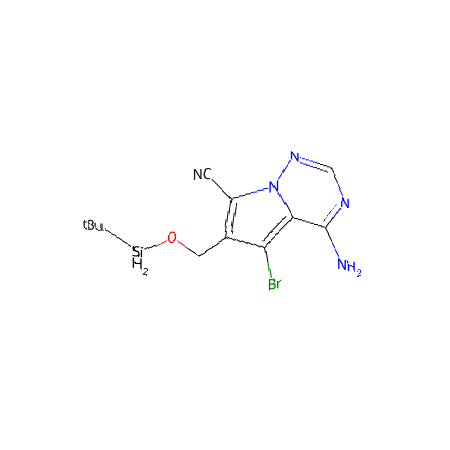 CC(C)(C)[SiH2]OCc1c(Br)c2c(N)ncnn2c1C#N